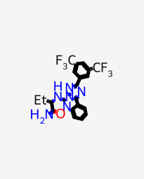 CCC(Nc1nc2ccccc2c2nc(-c3cc(C(F)(F)F)cc(C(F)(F)F)c3)nn12)C(N)=O